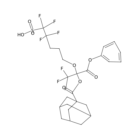 O=C(OC(OCCCC(F)(F)C(F)(F)S(=O)(=O)O)(C(=O)Oc1ccccc1)C(F)(F)F)C12CC3CC(CC(C3)C1)C2